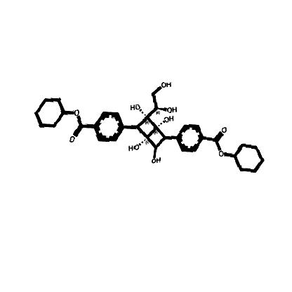 O=C(OC1CCCCC1)c1ccc(C2C(O)[C@@]3(O)C(c4ccc(C(=O)OC5CCCCC5)cc4)[C@@](O)([C@H](O)CO)[C@@]23O)cc1